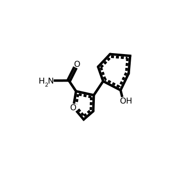 NC(=O)c1occc1-c1ccccc1O